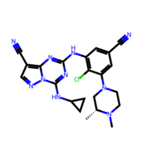 C[C@@H]1CN(c2cc(C#N)cc(Nc3nc(NC4CC4)n4ncc(C#N)c4n3)c2Cl)CCN1C